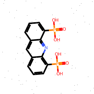 O=P(O)(O)c1cccc2cc3cccc(P(=O)(O)O)c3nc12